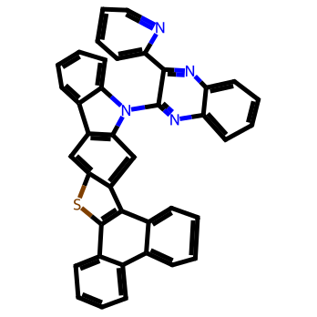 c1ccc(-c2nc3ccccc3nc2-n2c3ccccc3c3cc4sc5c6ccccc6c6ccccc6c5c4cc32)nc1